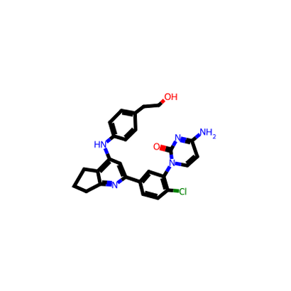 Nc1ccn(-c2cc(-c3cc(Nc4ccc(CCO)cc4)c4c(n3)CCC4)ccc2Cl)c(=O)n1